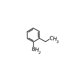 Bc1ccccc1CC